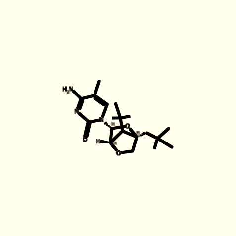 Cc1cn([C@@H]2O[C@@]3(CC(C)(C)C)CO[C@H]2C3C(C)(C)C)c(=O)nc1N